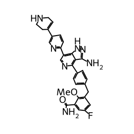 COc1c(Cc2ccc(-c3ncc(-c4ccc(C5=CCNCC5)cn4)c4[nH]nc(N)c34)cc2)cc(F)cc1C(N)=O